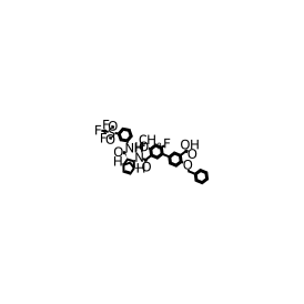 COc1cc(F)c(-c2ccc(OCc3ccccc3)c(C(=O)O)c2)cc1C(=O)N[C@H]1[C@@H](C(=O)Nc2cccc(S(=O)(=O)C(F)(F)F)c2)[C@@H]2C=C[C@H]1C2